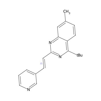 Cc1ccc2c(C(C)(C)C)nc(/C=C/c3cccnc3)nc2c1